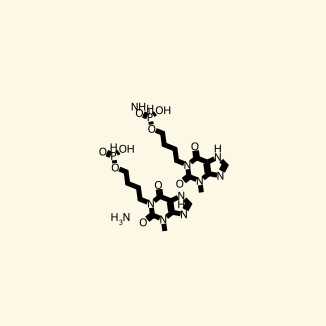 Cn1c(=O)n(CCCCO[PH](=O)O)c(=O)c2[nH]cnc21.Cn1c(=O)n(CCCCO[PH](=O)O)c(=O)c2[nH]cnc21.N.N